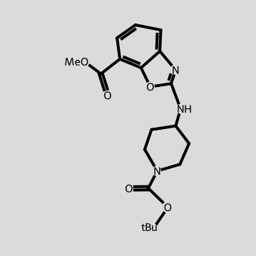 COC(=O)c1cccc2nc(NC3CCN(C(=O)OC(C)(C)C)CC3)oc12